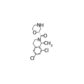 C[C@H]1c2c(Cl)cc(Cl)cc2CCN1C(=O)[C@H]1CNCCO1